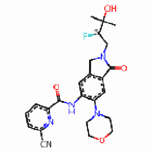 CC(C)(O)[C@H](F)CN1Cc2cc(NC(=O)c3cccc(C#N)n3)c(N3CCOCC3)cc2C1=O